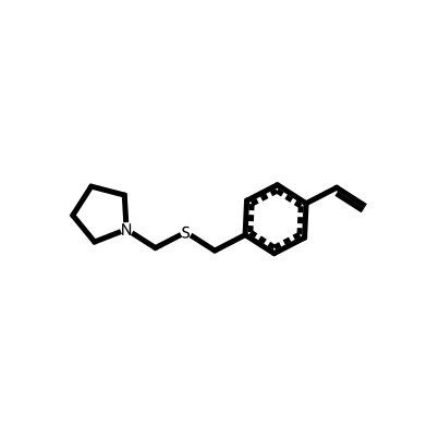 C=Cc1ccc(CSCN2CCCC2)cc1